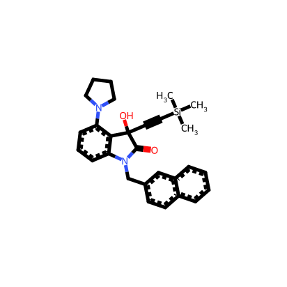 C[Si](C)(C)C#CC1(O)C(=O)N(Cc2ccc3ccccc3c2)c2cccc(N3CCCC3)c21